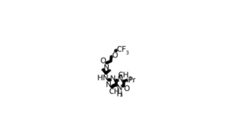 Cc1nc(NC2CN(C(=O)CCOCC(F)(F)F)C2)nc2c1NC(=O)C(C(C)C)N2C